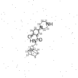 O=C(NCCC12CC3CC(CC(C3)C1)C2)c1cc(N2CCCNCC2)ccc1Cl